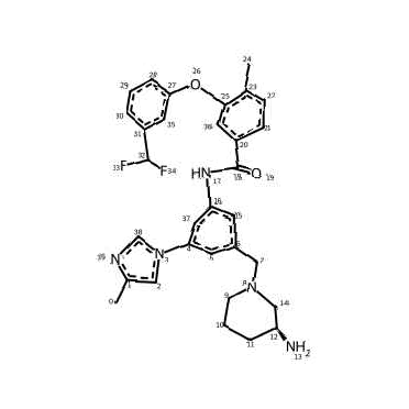 Cc1cn(-c2cc(CN3CCC[C@H](N)C3)cc(NC(=O)c3ccc(C)c(Oc4cccc(C(F)F)c4)c3)c2)cn1